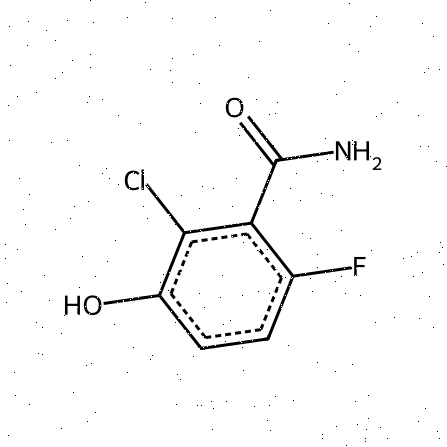 NC(=O)c1c(F)ccc(O)c1Cl